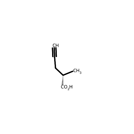 C#CC[C@H](C)C(=O)O